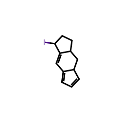 IC1CCC2CC3C=CC=C3C=C12